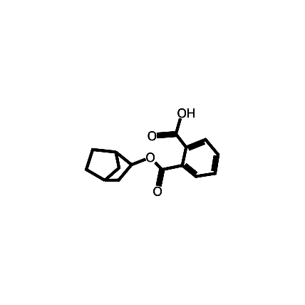 O=C(O)c1ccccc1C(=O)OC1CC2CCC1C2